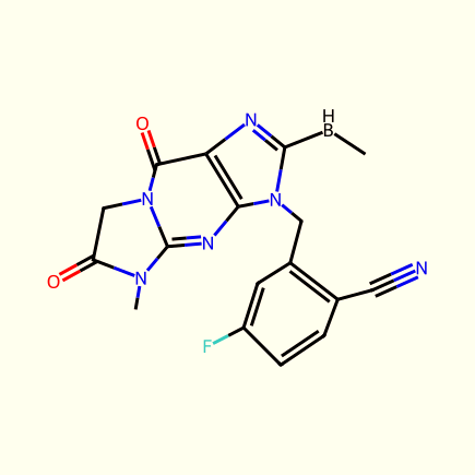 CBc1nc2c(=O)n3c(nc2n1Cc1cc(F)ccc1C#N)N(C)C(=O)C3